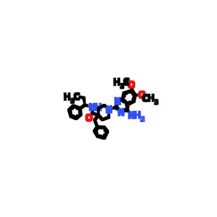 CC[C@@H](NC(=O)C1(Cc2ccccc2)CCN(c2nc(N)c3cc(OC)c(OC)cc3n2)CC1)c1ccccc1